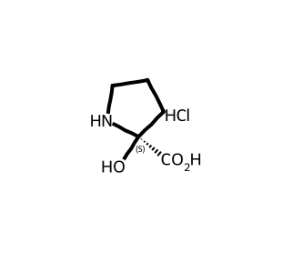 Cl.O=C(O)[C@@]1(O)CCCN1